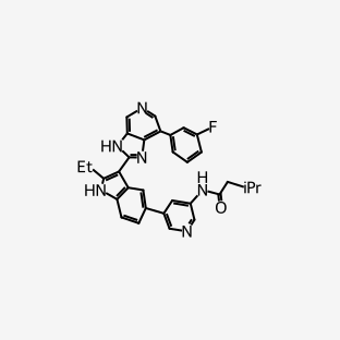 CCc1[nH]c2ccc(-c3cncc(NC(=O)CC(C)C)c3)cc2c1-c1nc2c(-c3cccc(F)c3)cncc2[nH]1